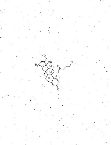 CCCCC(=O)OC1C[C@@]2(C)[C@@H](CC(C)[C@]2(O)C(=O)CO)[C@@H]2CCC3=CC(=O)C=C[C@]3(C)[C@@]12Cl